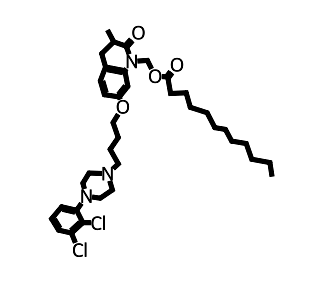 CCCCCCCCCCCC(=O)OCN1C(=O)C(C)Cc2ccc(OCCCCN3CCN(c4cccc(Cl)c4Cl)CC3)cc21